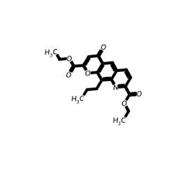 CCCc1c2nc(C(=O)OCC)ccc2cc2c(=O)cc(C(=O)OCC)oc12